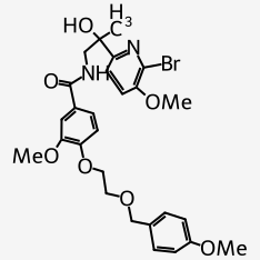 COc1ccc(COCCOc2ccc(C(=O)NCC(C)(O)c3ccc(OC)c(Br)n3)cc2OC)cc1